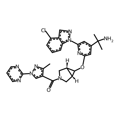 Cc1nn(-c2ncccn2)cc1C(=O)N1C[C@@H]2C(Oc3cc(C(C)(C)N)cc(-n4ncc5c(Cl)cccc54)n3)[C@@H]2C1